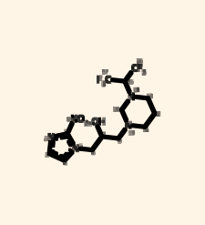 O=[N+]([O-])c1nccn1CC(O)CN1CCCN(C(C(F)(F)F)C(F)(F)F)C1